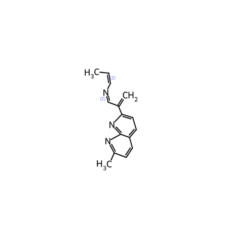 C=C(/C=N\C=C/C)c1ccc2ccc(C)nc2n1